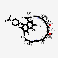 CCC(=O)N1CCC2(CC1)N=C1C(=C3NC(=O)/C(C)=C\C=C\[C@H](C)[C@H](O)[C@@H](C)[C@@H](O)[C@@H](C)[C@H](OC(C)=O)[C@H](C)[C@@H](OC)/C=C/O[C@@]4(C)Oc5c(C)c(O)c(c1c5C4=N)C3=O)N2